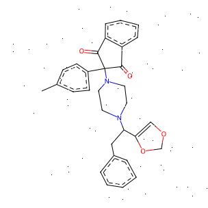 Cc1ccc(C2(N3CCN(C(Cc4ccccc4)C4=COCO4)CC3)C(=O)c3ccccc3C2=O)cc1